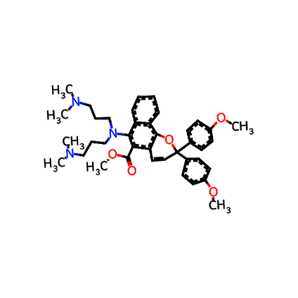 COC(=O)c1c2c(c3ccccc3c1N(CCCN(C)C)CCCN(C)C)OC(c1ccc(OC)cc1)(c1ccc(OC)cc1)C=C2